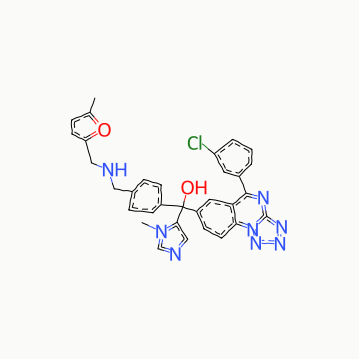 Cc1ccc(CNCc2ccc(C(O)(c3ccc4c(c3)c(-c3cccc(Cl)c3)nc3nnnn34)c3cncn3C)cc2)o1